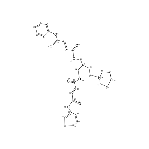 O=C(/C=C/C(=O)Oc1ccccc1)OCC(CCN1CCOCC1)COC(=O)/C=C/C(=O)Oc1ccccc1